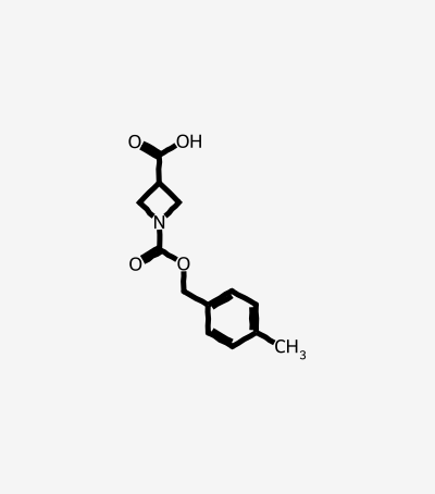 Cc1ccc(COC(=O)N2CC(C(=O)O)C2)cc1